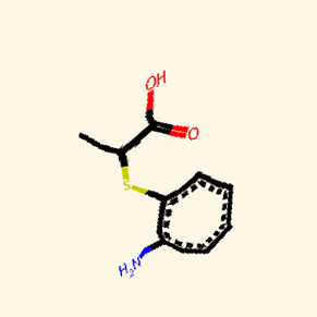 CC(Sc1ccccc1N)C(=O)O